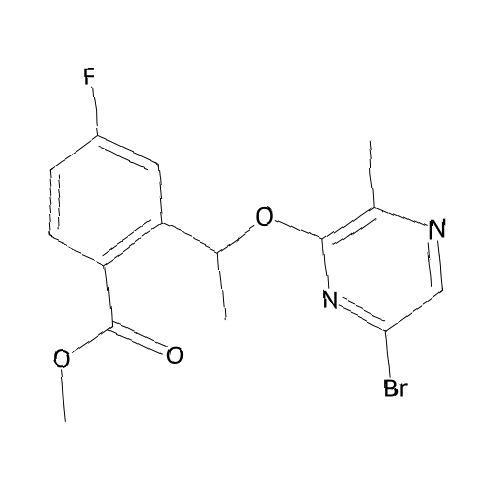 COC(=O)c1ccc(F)cc1C(C)Oc1nc(Br)cnc1C